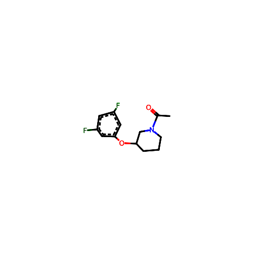 CC(=O)N1CCCC(Oc2cc(F)cc(F)c2)C1